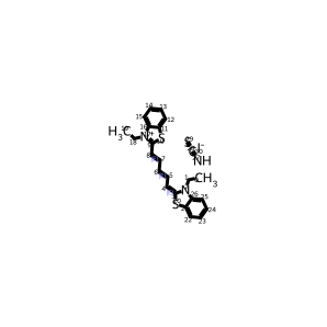 CCN1\C(=C/C=C/C=C/c2sc3ccccc3[n+]2CC)Sc2ccccc21.N=C=S.[I-]